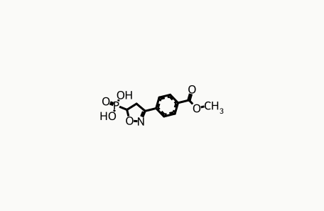 COC(=O)c1ccc(C2=NOC(P(=O)(O)O)C2)cc1